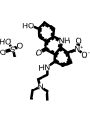 CCN(CC)CCNc1ccc([N+](=O)[O-])c2[nH]c3ccc(O)cc3c(=O)c12.CS(=O)(=O)O